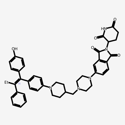 CC/C(=C(\c1ccc(O)cc1)c1ccc(N2CCC(CN3CCN(c4ccc5c(c4)C(=O)N(C4CCC(=O)NC4=O)C5=O)CC3)CC2)cc1)c1ccccc1